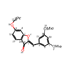 COc1cc(/C=C2\Oc3cc(OC(C)C)ccc3C2=O)cc(OC)c1